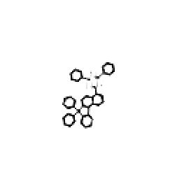 c1ccc(-c2nc(-c3ccccc3)nc(-c3cccc4c5c(ccc34)C(c3ccccc3)(c3ccccc3)c3ccccc3-5)n2)cc1